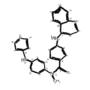 CN(C(=O)c1ccc(Nc2ccnc3ccccc23)cc1)c1ccc(Nc2ccncc2)cc1